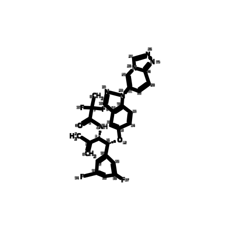 C=C(C)[C@H](NC(=O)C(C)(F)F)[C@H](Oc1ccc2c(cnn2-c2ccc3nncn3c2)c1)c1cc(F)cc(F)c1